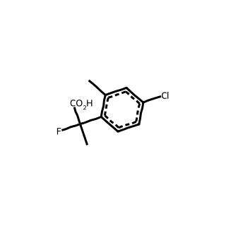 Cc1cc(Cl)ccc1C(C)(F)C(=O)O